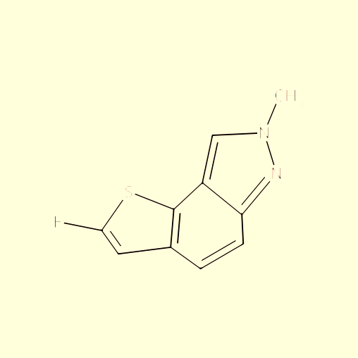 Cn1cc2c(ccc3cc(F)sc32)n1